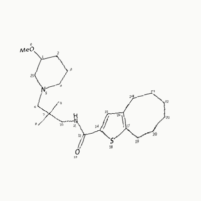 COC1CCCN(CC(C)(C)CNC(=O)c2cc3c(s2)CCCCCC3)C1